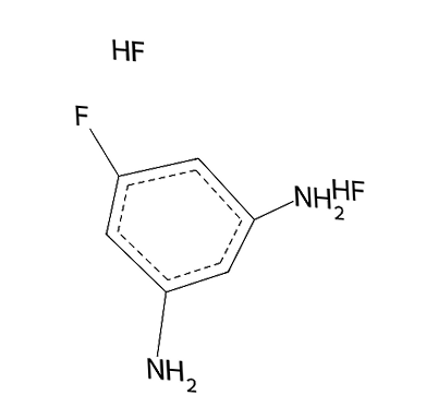 F.F.Nc1cc(N)cc(F)c1